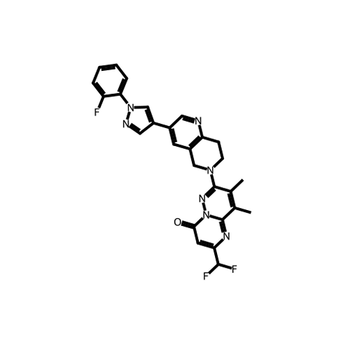 Cc1c(N2CCc3ncc(-c4cnn(-c5ccccc5F)c4)cc3C2)nn2c(=O)cc(C(F)F)nc2c1C